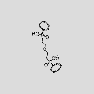 O=P(O)(CCOCCP(=O)(O)c1ccccc1)c1ccccc1